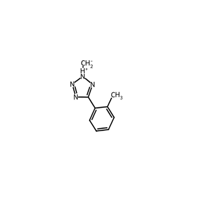 [CH2-][NH+]1N=NC(c2ccccc2C)=N1